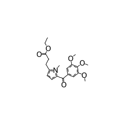 CCOC(=O)CCc1ccc(C(=O)c2cc(OC)c(OC)c(OC)c2)n1C